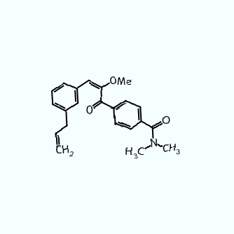 C=CCc1cccc(C=C(OC)C(=O)c2ccc(C(=O)N(C)C)cc2)c1